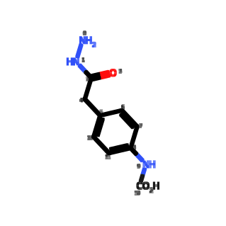 NNC(=O)Cc1ccc(NC(=O)O)cc1